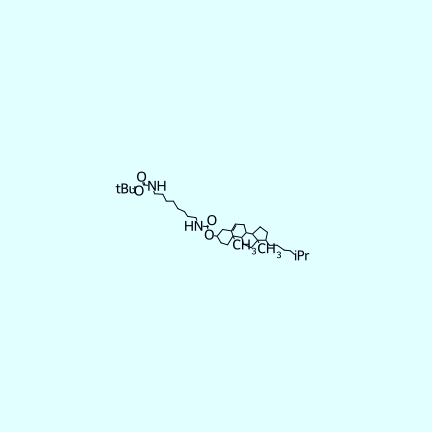 CC(C)CCCCC1CCC2C3CC=C4CC(OC(=O)NCCCCCCCCNC(=O)OC(C)(C)C)CCC4(C)C3CCC12C